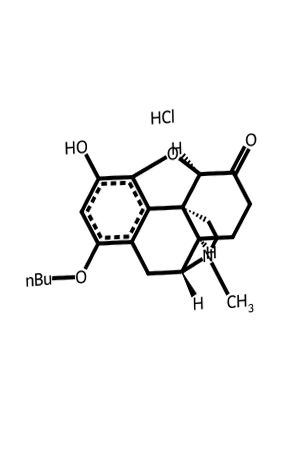 CCCCOc1cc(O)c2c3c1C[C@@H]1[C@@H]4CCC(=O)[C@H](O2)[C@]34CCN1C.Cl